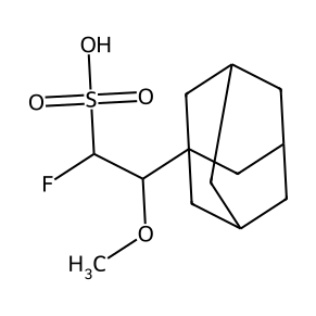 COC(C(F)S(=O)(=O)O)C12CC3CC(CC(C3)C1)C2